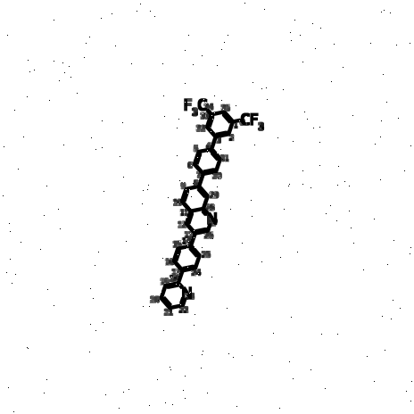 FC(F)(F)c1cc(-c2ccc(-c3ccc4cc(-c5ccc(-c6ccccn6)cc5)cnc4c3)cc2)cc(C(F)(F)F)c1